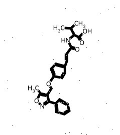 Cc1onc(-c2ccccc2)c1COc1ccc(/C=C/C(=O)NC(C(=O)O)C(C)C)cc1